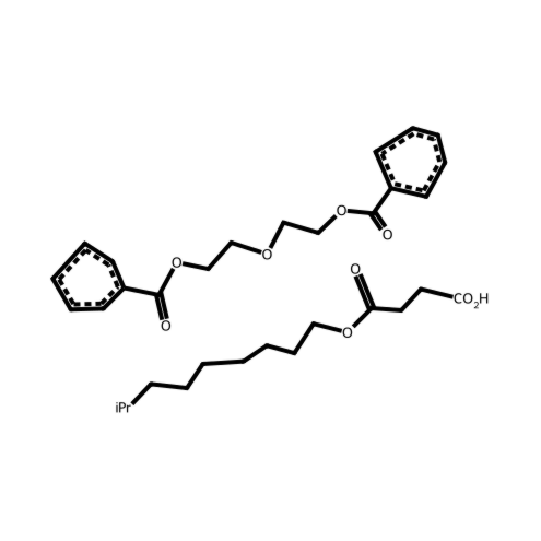 CC(C)CCCCCCCOC(=O)CCC(=O)O.O=C(OCCOCCOC(=O)c1ccccc1)c1ccccc1